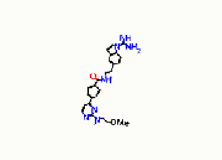 COCCN(C)c1nccc(-c2ccc(C(=O)NCCc3ccc4c(ccn4C(=N)N)c3)cc2)n1